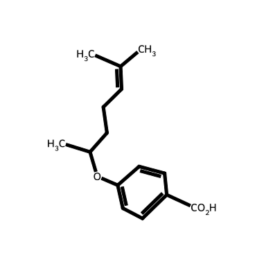 CC(C)=CCCC(C)Oc1ccc(C(=O)O)cc1